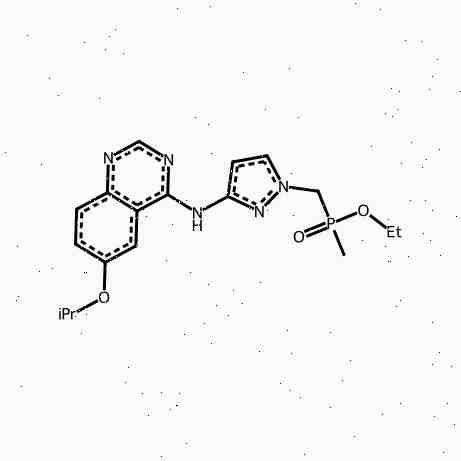 CCOP(C)(=O)Cn1ccc(Nc2ncnc3ccc(OC(C)C)cc23)n1